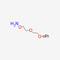 CCCOCCOCCON